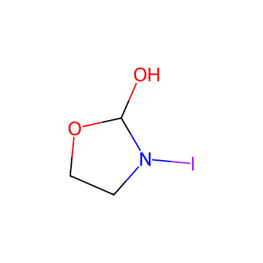 OC1OCCN1I